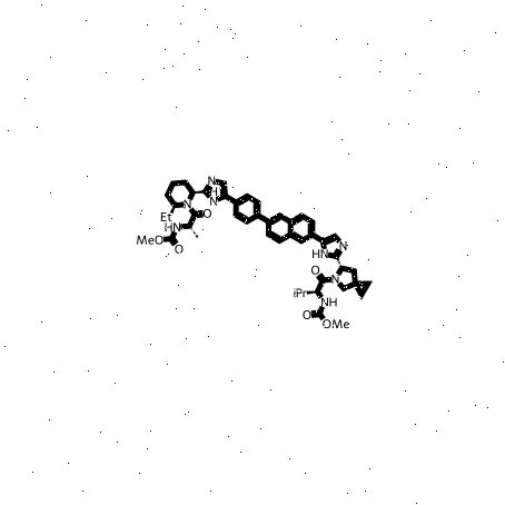 CC[C@H]1CCC[C@@H](c2ncc(-c3ccc(-c4ccc5cc(-c6cnc([C@@H]7CC8(CC8)CN7C(=O)[C@@H](NC(=O)OC)C(C)C)[nH]6)ccc5c4)cc3)[nH]2)N1C(=O)[C@H](C)NC(=O)OC